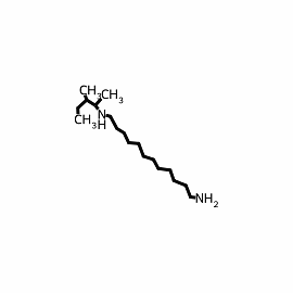 CCC(C)C(C)NCCCCCCCCCCCCN